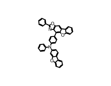 c1ccc(-c2nc3c(-c4ccc(N(c5ccccc5)c5ccc6c(c5)oc5ccccc56)cc4)c4oc5ccccc5c4cc3o2)cc1